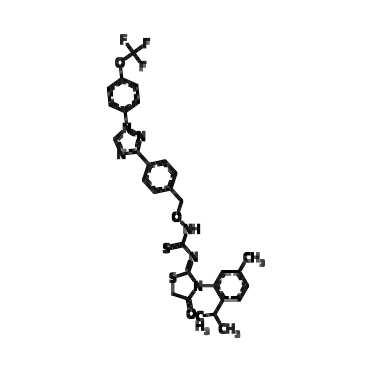 Cc1ccc(C(C)C)c(N2C(=O)CS/C2=N\C(=S)NOCc2ccc(-c3ncn(-c4ccc(OC(F)(F)F)cc4)n3)cc2)c1